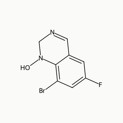 ON1CN=Cc2cc(F)cc(Br)c21